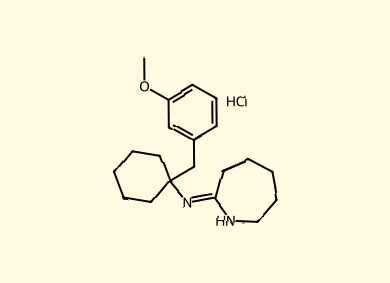 COc1cccc(CC2(N=C3CCCCCN3)CCCCC2)c1.Cl